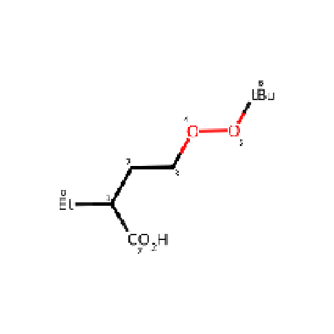 CCC(CCOOC(C)(C)C)C(=O)O